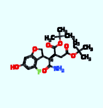 CC(C)(C)OC(=O)CC(C(=O)OC(C)(C)C)[C@@H](C(N)=O)C1COc2cc(O)cc(F)c21